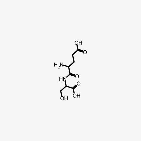 NC(CCC(=O)O)C(=O)NC(CO)C(=O)O